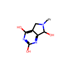 CC(C)N1Cc2c(O)nc(O)nc2C1O